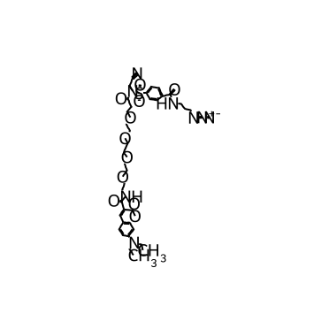 CCN(CC)c1ccc2cc(C(=O)NCCOCCOCCOCCOCCC(=O)N(CC#N)S(=O)(=O)c3ccc(C(=O)NCCCN=[N+]=[N-])cc3)c(=O)oc2c1